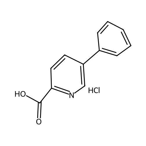 Cl.O=C(O)c1ccc(-c2ccccc2)cn1